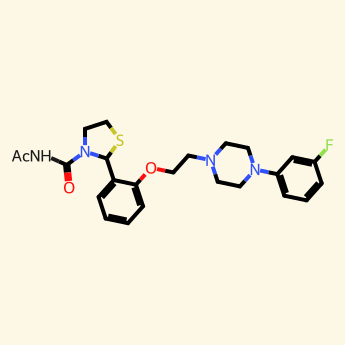 CC(=O)NC(=O)N1CCSC1c1ccccc1OCCN1CCN(c2cccc(F)c2)CC1